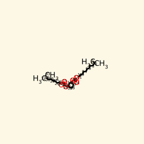 CC(C)CCCCCCCCCOC(=O)OC1CCCC(OC(=O)OCCCCCCC(C)C)C1